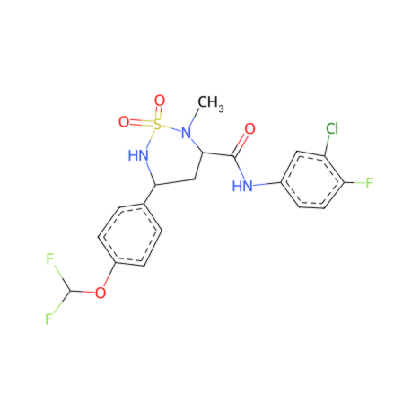 CN1C(C(=O)Nc2ccc(F)c(Cl)c2)CC(c2ccc(OC(F)F)cc2)NS1(=O)=O